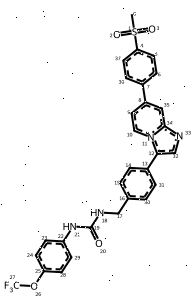 CS(=O)(=O)c1ccc(-c2ccn3c(-c4ccc(CNC(=O)Nc5ccc(OC(F)(F)F)cc5)cc4)cnc3c2)cc1